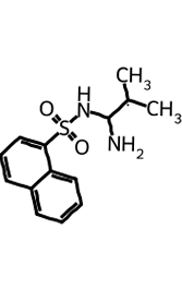 C[C](C)C(N)NS(=O)(=O)c1cccc2ccccc12